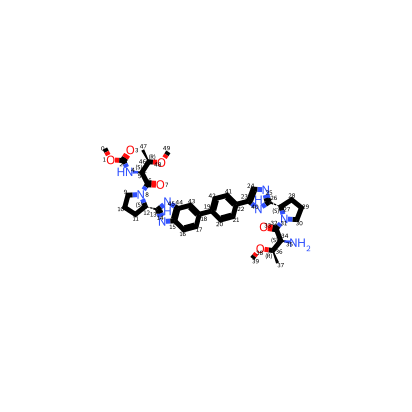 COC(=O)N[C@H](C(=O)N1CCC[C@H]1c1nc2ccc(-c3ccc(-c4cnc([C@@H]5CCCN5C(=O)[C@@H](N)[C@@H](C)OC)[nH]4)cc3)cc2[nH]1)[C@@H](C)OC